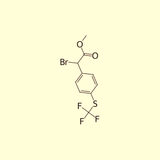 COC(=O)C(Br)c1ccc(SC(F)(F)F)cc1